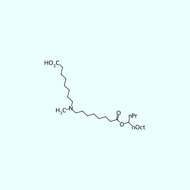 CCCCCCCCC(CCC)OC(=O)CCCCCCCN(C)CCCCCCCC(=O)O